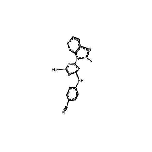 Cc1nc2ccccc2n1-c1nc(N)nc(Nc2ccc(C#N)cc2)n1